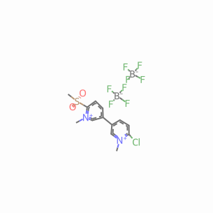 C[n+]1cc(-c2ccc(S(C)(=O)=O)[n+](C)c2)ccc1Cl.F[B-](F)(F)F.F[B-](F)(F)F